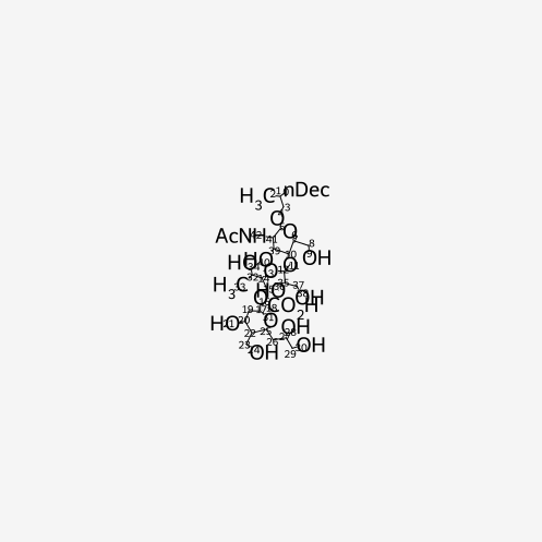 CCCCCCCCCCC(C)COC1OC(CO)C(OC(OC(CO[C@]2(C(=O)O)C[C@H](O)C(CO)C(C[C@H](O)CO)O2)[C@@H](C)O)[C@@H](O)CO)C(O)C1NC(C)=O